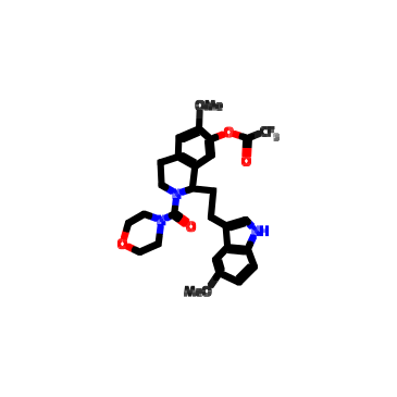 COc1ccc2[nH]cc(CCC3c4cc(OC(=O)C(F)(F)F)c(OC)cc4CCN3C(=O)N3CCOCC3)c2c1